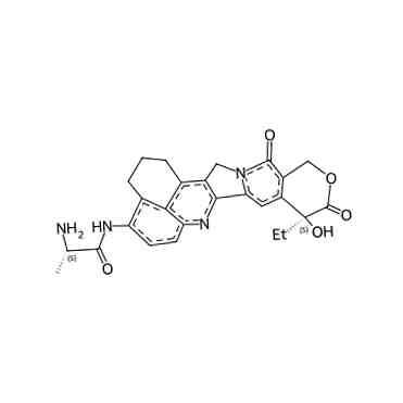 CC[C@@]1(O)C(=O)OCc2c1cc1n(c2=O)Cc2c-1nc1ccc(NC(=O)[C@H](C)N)c3c1c2CCC3